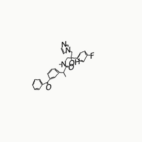 CC(C(=O)N(C)CC(O)(Cn1ccnc1)c1ccc(F)cc1)c1cccc(C(=O)c2ccccc2)c1